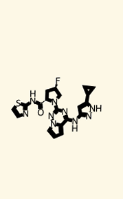 O=C(Nc1nccs1)[C@@H]1C[C@@H](F)CN1c1nc(Nc2cc(C3CC3)[nH]n2)c2cccn2n1